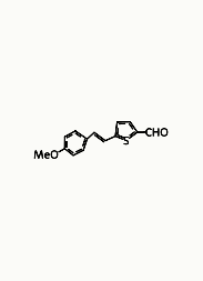 COc1ccc(/C=C/c2ccc(C=O)s2)cc1